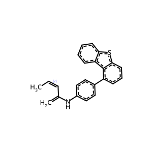 C=C(/C=C\C)Nc1ccc(-c2cccc3sc4ccccc4c23)cc1